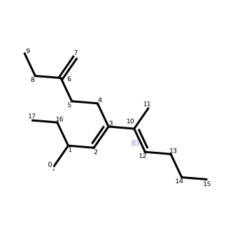 [CH2]C(C=C(CCC(=C)CC)/C(C)=C/CCC)CC